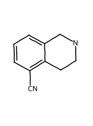 N#Cc1cccc2c1CC[N]C2